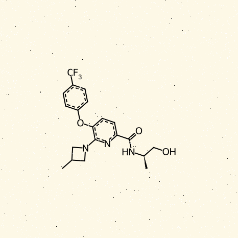 CC1CN(c2nc(C(=O)N[C@H](C)CO)ccc2Oc2ccc(C(F)(F)F)cc2)C1